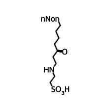 CCCCCCCCCCCCCC(=O)CCNCCS(=O)(=O)O